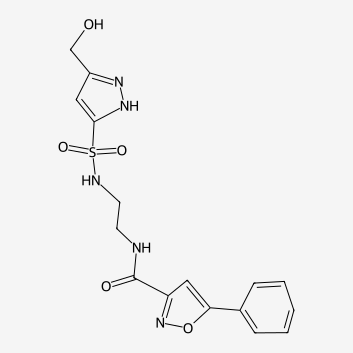 O=C(NCCNS(=O)(=O)c1cc(CO)n[nH]1)c1cc(-c2ccccc2)on1